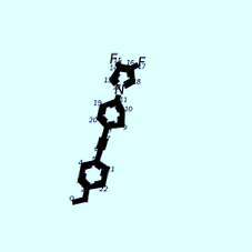 CCc1ccc(C#Cc2ccc(-n3cc(F)c(F)c3)cc2)cc1